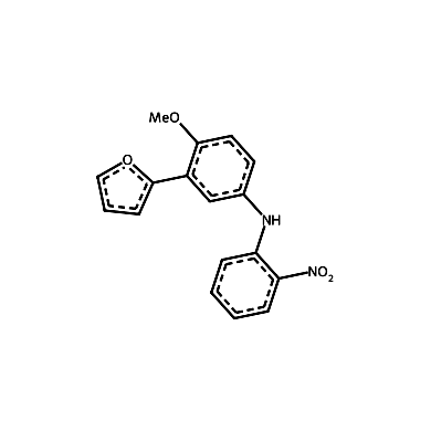 COc1ccc(Nc2ccccc2[N+](=O)[O-])cc1-c1ccco1